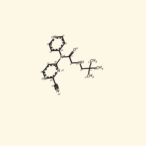 CC(C)(C)CNCC(=O)N(c1ccncc1)c1ccnc(C#N)n1